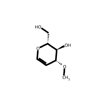 CO[C@@H]1C=CO[C@H](CO)[C@H]1O